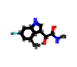 CCNC(=O)C(=O)c1c[nH]c2cc(F)cc(OC(C)=O)c12